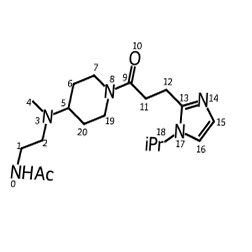 CC(=O)NCCN(C)C1CCN(C(=O)CCc2nccn2C(C)C)CC1